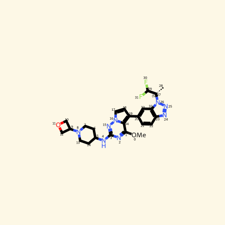 COc1nc(NC2CCN(C3COC3)CC2)nn2ccc(-c3ccc4nnn([C@@H](C)C(F)F)c4c3)c12